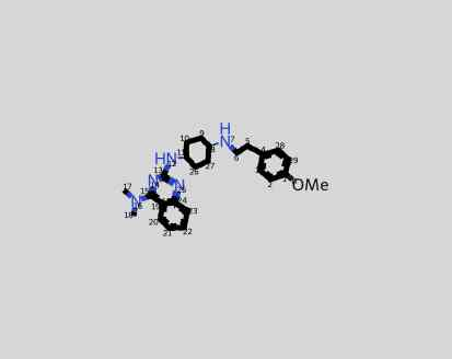 COc1ccc(CCN[C@H]2CC[C@@H](Nc3nc(N(C)C)c4ccccc4n3)CC2)cc1